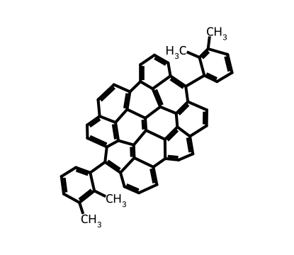 Cc1cccc(-c2c3cccc4c5ccc6ccc7c(-c8cccc(C)c8C)c8cccc9c%10ccc%11ccc2c2c%11c%10c%10c(c89)c7c6c5c%10c2c34)c1C